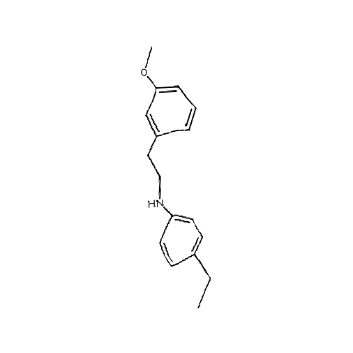 CCc1ccc(NCCc2cccc(OC)c2)cc1